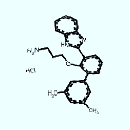 Cc1cc(C)cc(-c2cccc(-c3nc4ccccc4[nH]3)c2OCCCN)c1.Cl